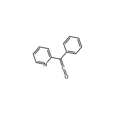 O=C=C(c1ccccc1)c1ccccn1